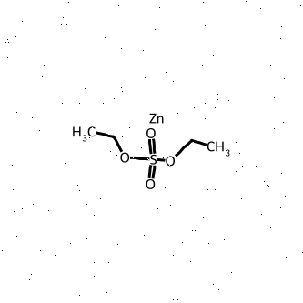 CCOS(=O)(=O)OCC.[Zn]